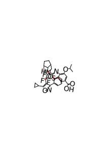 CC(C)Oc1cc(C(=O)O)cc2sc(NC3C4CCC3CC(OCc3c(-c5ccccc5OC(F)(F)F)noc3C3CC3)C4)nc12